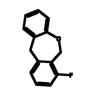 Fc1cccc2c1COc1ccccc1C2